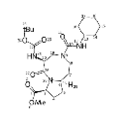 COC(=O)[C@@H]1CC[C@@H]2CCN(C(=O)NC3CCCCC3)C[C@H](NC(=O)OC(C)(C)C)C(=O)N21